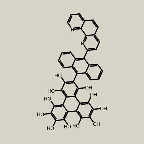 Oc1c(O)c(O)c2c(c1O)c1c(O)c(O)c(O)c(O)c1c1c(O)c(-c3c4ccccc4c(-c4ccc5ccc6cccnc6c5n4)c4ccccc34)c(O)c(O)c21